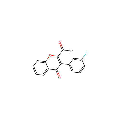 CCC(=O)c1oc2ccccc2c(=O)c1-c1cccc(F)c1